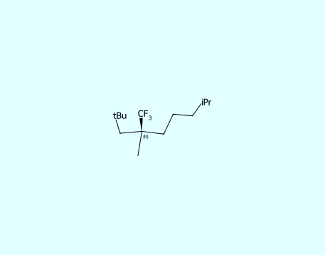 CC(C)CCC[C@](C)(CC(C)(C)C)C(F)(F)F